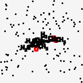 C=CCC1CC(C)(C)C(/C=C/C(C)=C/C=C/C(C)=C/C(=O)OC)=C(C)C1=O